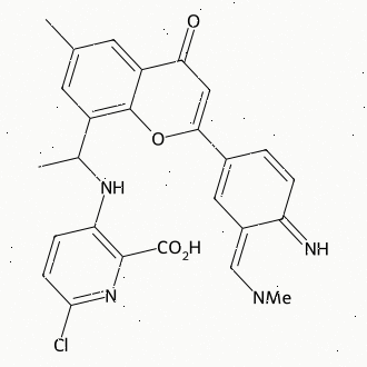 CN/C=C1/C=C(c2cc(=O)c3cc(C)cc(C(C)Nc4ccc(Cl)nc4C(=O)O)c3o2)C=CC1=N